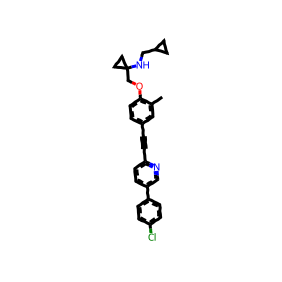 Cc1cc(C#Cc2ccc(-c3ccc(Cl)cc3)cn2)ccc1OCC1(NCC2CC2)CC1